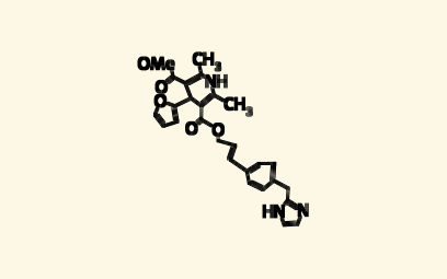 COC(=O)C1=C(C)NC(C)=C(C(=O)OCC=Cc2ccc(Cc3ncc[nH]3)cc2)C1c1ccco1